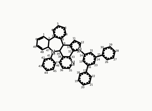 C1=CC2c3ccccc3C3c4ccn(-c5cc(-c6ccccc6)cc(-c6ccccc6)c5)c4-c4ncccc4C3N(c3ccccc3)C2C=C1